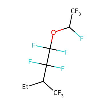 CCC(C(F)(F)F)C(F)(F)C(F)(F)OC(F)C(F)(F)F